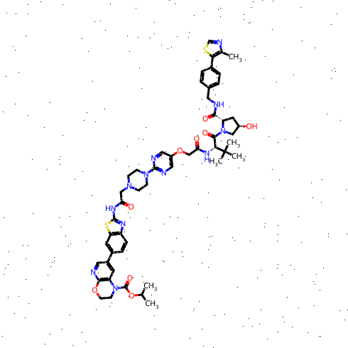 Cc1ncsc1-c1ccc(CNC(=O)[C@@H]2C[C@@H](O)CN2C(=O)[C@@H](NC(=O)COc2cnc(N3CCN(CC(=O)Nc4nc5ccc(-c6cnc7c(c6)N(C(=O)OC(C)C)CCO7)cc5s4)CC3)nc2)C(C)(C)C)cc1